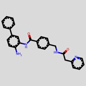 Nc1ccc(-c2ccccc2)cc1NC(=O)c1ccc(CNC(=O)Cc2ccccn2)cc1